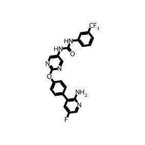 Nc1ncc(F)cc1-c1ccc(Oc2ncc(NC(=O)Nc3cccc(C(F)(F)F)c3)cn2)cc1